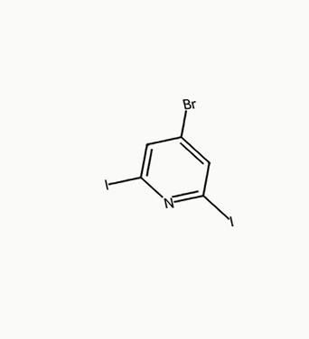 Brc1cc(I)nc(I)c1